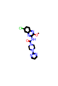 COc1nc2ccc(Cl)cc2nc1NC(=O)N1CCN(c2ncccn2)CC1